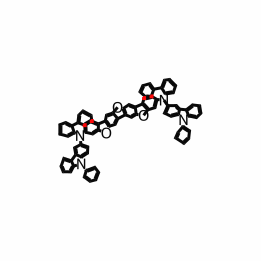 c1ccc(-c2ccccc2N(c2ccc3c(c2)oc2cc4c(cc23)oc2cc3c(cc24)oc2cc(N(c4ccc5c(c4)c4ccccc4n5-c4ccccc4)c4ccccc4-c4ccccc4)ccc23)c2ccc3c(c2)c2ccccc2n3-c2ccccc2)cc1